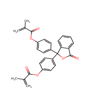 C=C(C)C(=O)Oc1ccc(C2(c3ccc(OC(=O)C(=C)C)cc3)OC(=O)c3ccccc32)cc1